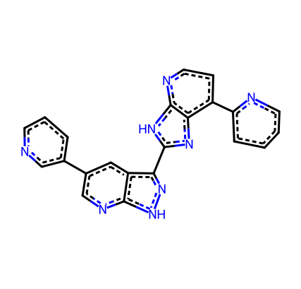 c1ccc(-c2ccnc3[nH]c(-c4n[nH]c5ncc(-c6cccnc6)cc45)nc23)nc1